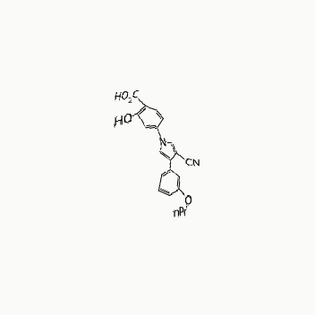 CCCOc1cccc(-c2cn(-c3ccc(C(=O)O)c(O)c3)cc2C#N)c1